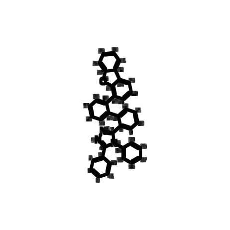 c1ccc(-c2nnc(-c3ccccc3-c3ccccc3-c3cccc4c3oc3ccccc34)n2-c2ccccc2)cc1